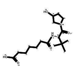 CC(C)(C)[C@H](NC(=O)CCCCCC(=O)O)C(=O)N1CCC(O)C1